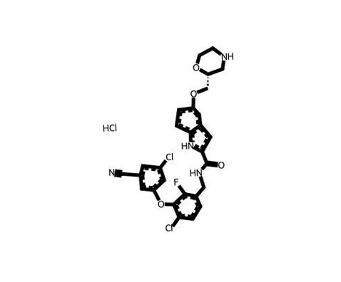 Cl.N#Cc1cc(Cl)cc(Oc2c(Cl)ccc(CNC(=O)c3cc4cc(OC[C@H]5CNCCO5)ccc4[nH]3)c2F)c1